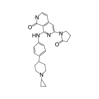 O=C1[N]C=Cc2cc(N3CCCC3=O)nc(Nc3ccc(C4CCN(C5CC5)CC4)cc3)c21